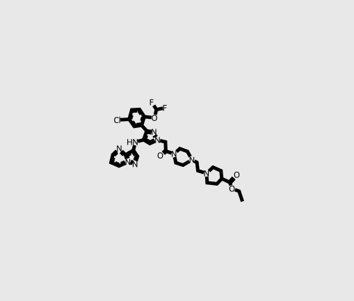 CCOC(=O)C1CCN(CCN2CCN(C(=O)Cn3cc(Nc4cnn5cccnc45)c(-c4cc(Cl)ccc4OC(F)F)n3)CC2)CC1